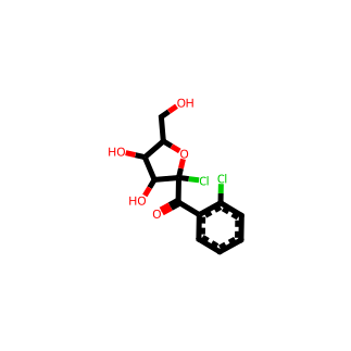 O=C(c1ccccc1Cl)C1(Cl)OC(CO)C(O)C1O